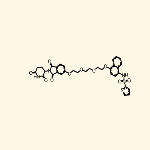 O=C1CCC(N2C(=O)c3ccc(OCCOCCOCCOc4ccc(NS(=O)(=O)c5cccs5)c5ccccc45)cc3C2=O)C(=O)N1